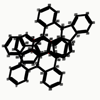 c1ccc(-c2ccccc2N(c2ccc(-c3ccccc3-n3c4ccccc4c4ccccc43)cc2)c2ccccc2-c2cccc3oc4c5ccccc5ccc4c23)cc1